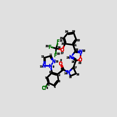 O=C(c1ccc(Cl)cc1-n1nccn1)N1CCC1c1nc(-c2ccccc2OC(F)(F)F)no1